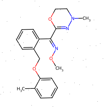 CON=C(C1=NN(C)CCO1)c1ccccc1COc1ccccc1C